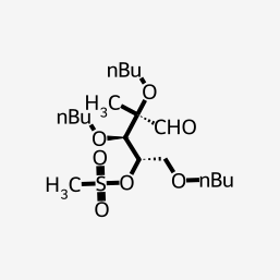 CCCCOC[C@H](OS(C)(=O)=O)[C@@H](OCCCC)[C@](C)(C=O)OCCCC